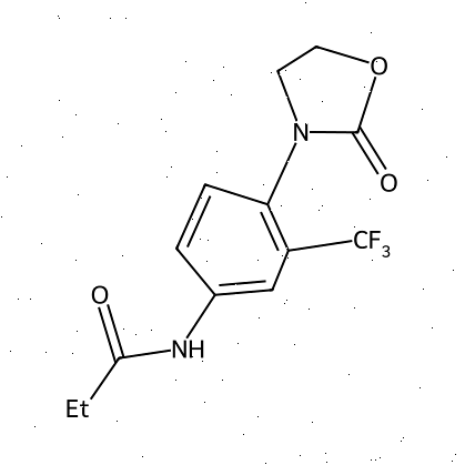 CCC(=O)Nc1ccc(N2CCOC2=O)c(C(F)(F)F)c1